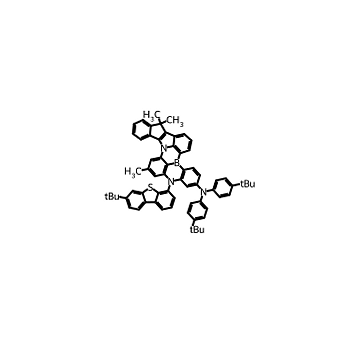 Cc1cc2c3c(c1)-n1c4c(c5cccc(c51)B3c1ccc(N(c3ccc(C(C)(C)C)cc3)c3ccc(C(C)(C)C)cc3)cc1N2c1cccc2c1sc1cc(C(C)(C)C)ccc12)C(C)(C)c1ccccc1-4